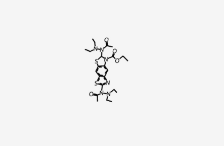 CCOC(=O)N1c2cc3nc(N(C(C)=O)N(CC)CC)sc3cc2SC1N(C(C)=O)N(CC)CC